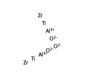 [Al+3].[Al+3].[O-2].[O-2].[O-2].[Ti].[Ti].[Zr].[Zr]